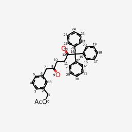 CC(=O)OCc1cccc(CC(=O)CCC(=O)C(c2ccccc2)(c2ccccc2)c2ccccc2)c1